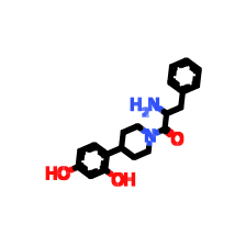 NC(Cc1ccccc1)C(=O)N1CCC(c2ccc(O)cc2O)CC1